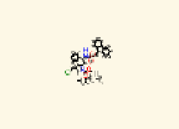 CC(C)(C)OC(=O)N1C[C@@H](CCl)c2c1cc(NC(=O)OCC1c3ccccc3-c3ccccc31)c1ccccc21